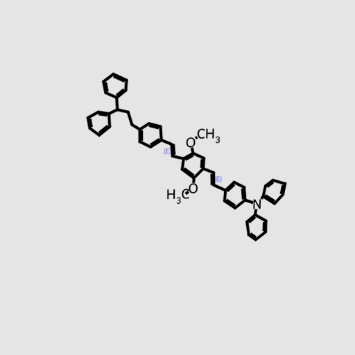 COc1cc(/C=C/c2ccc(N(c3ccccc3)c3ccccc3)cc2)c(OC)cc1/C=C/c1ccc(CCC(c2ccccc2)c2ccccc2)cc1